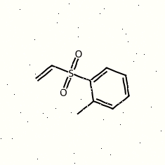 C=CS(=O)(=O)c1ccccc1C